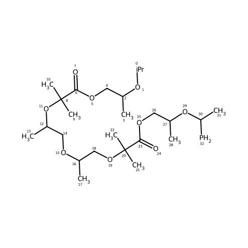 CC(C)OC(C)COC(=O)C(C)(C)OC(C)COC(C)COC(C)(C)C(=O)OCC(C)OC(C)P